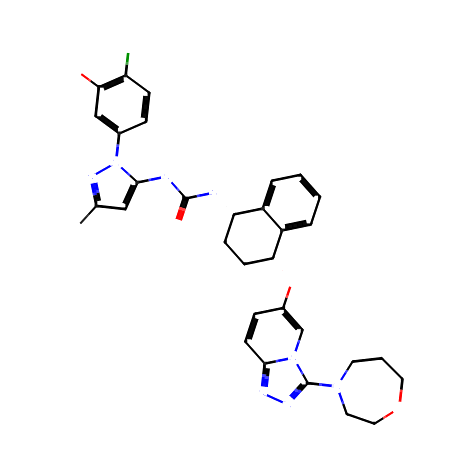 CC(C)(C)c1cc(NC(=O)N[C@H]2CC[C@@H](Oc3ccc4nnc(N5CCCOCC5)n4c3)c3ccccc32)n(-c2ccc(Cl)c(O)c2)n1